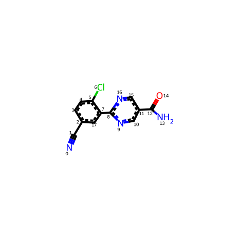 N#Cc1ccc(Cl)c(-c2ncc(C(N)=O)cn2)c1